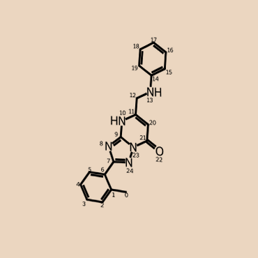 Cc1ccccc1-c1nc2[nH]c(CNc3ccccc3)cc(=O)n2n1